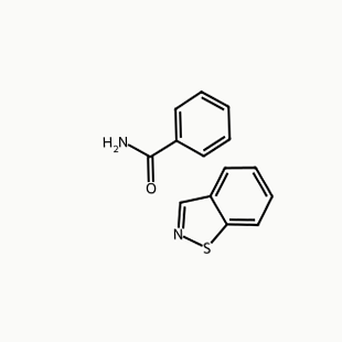 NC(=O)c1ccccc1.c1ccc2sncc2c1